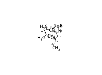 CC(C)NC(C)C.CCCC(O)Cc1cccc(Br)n1